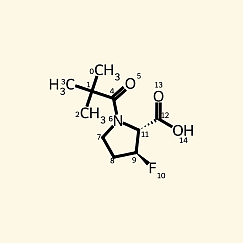 CC(C)(C)C(=O)N1CC[C@H](F)[C@H]1C(=O)O